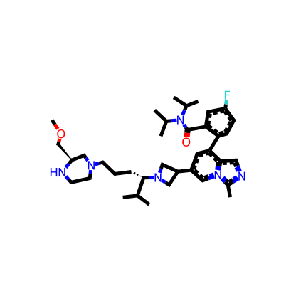 COC[C@H]1CN(CCC[C@@H](C(C)C)N2CC(c3cc(-c4ccc(F)cc4C(=O)N(C(C)C)C(C)C)c4cnc(C)n4c3)C2)CCN1